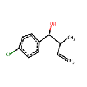 C=CC(C)C(O)c1ccc(Cl)cc1